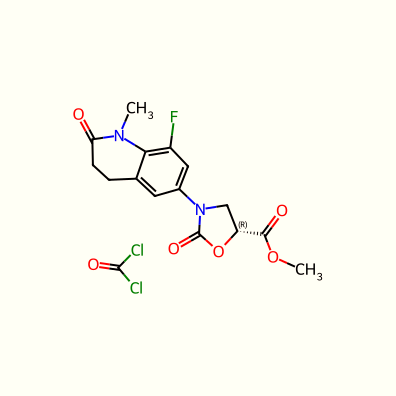 COC(=O)[C@H]1CN(c2cc(F)c3c(c2)CCC(=O)N3C)C(=O)O1.O=C(Cl)Cl